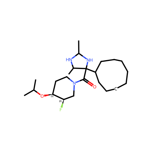 CC1NC(C)C(C(=O)N2CC[C@H](OC(C)C)[C@H](F)C2)(C2CCCCCCCC2)N1